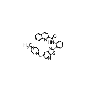 CN1CCN(Cc2cnc3sc(-c4ccccc4NC(=O)c4ccc5ccccc5n4)nc3c2)CC1